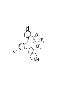 O=C(OC(C(F)(F)F)C(F)(F)F)C1CNCCN1Cc1ccc(Cl)cc1C1CCC2(CCNCC2)C1